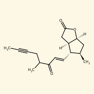 CC#CCC(C)C(=O)C=C[C@@H]1[C@H]2CC(=O)O[C@H]2C[C@H]1C